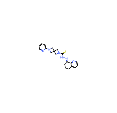 S=C(NN=C1CCCc2cccnc21)N1CC2(C1)CN(c1ccccn1)C2